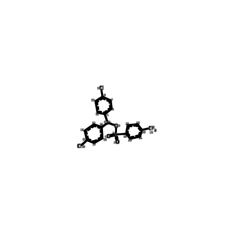 O=S(=O)(O[I+](c1ccc(Cl)cc1)c1ccc(Cl)cc1)c1ccc(C(F)(F)F)cc1